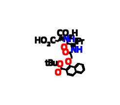 CC(C)[C@H](NC(=O)COc1c(C(=O)OC(C)(C)C)ccc2ccccc12)C(=O)N[C@@H](CC(=O)O)C(=O)O